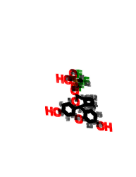 O=C1OC2(c3ccc(O)cc3Oc3cc(O)ccc32)c2ccccc21.O=S(=O)(O)C(F)(F)F